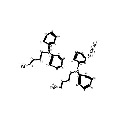 [Cl-].[Cl-].[Cl-].[Cl-].[Pd+2][CH2]CCCP(c1ccccc1)c1ccccc1.[Pd+2][CH2]CCCP(c1ccccc1)c1ccccc1